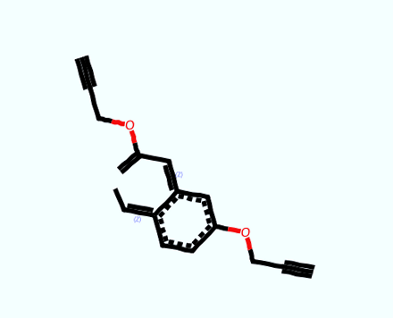 C#CCOC(=C)/C=c1/cc(OCC#C)cc/c1=C/C